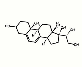 C[C@]12CCC(O)CC1=CC=C1[C@@H]2CC[C@@]2(C)[C@H]1CC[C@]2(O)[C@H](O)CO